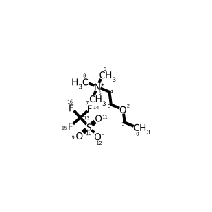 CCOCC[N+](C)(C)C.O=S(=O)([O-])C(F)(F)F